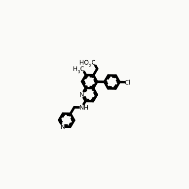 Cc1cc2nc(NCc3ccncc3)ccc2c(-c2ccc(Cl)cc2)c1CC(=O)O